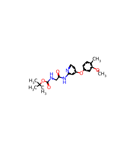 COc1cc(Oc2ccnc(NC(=O)CNC(=O)OC(C)(C)C)c2)ccc1C